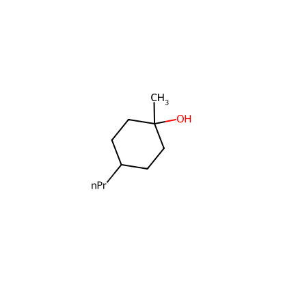 CCCC1CCC(C)(O)CC1